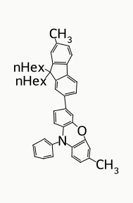 CCCCCCC1(CCCCCC)c2cc(C)ccc2-c2ccc(-c3ccc4c(c3)Oc3cc(C)ccc3N4c3ccccc3)cc21